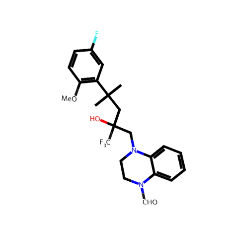 COc1ccc(F)cc1C(C)(C)CC(O)(CN1CCN(C=O)c2ccccc21)C(F)(F)F